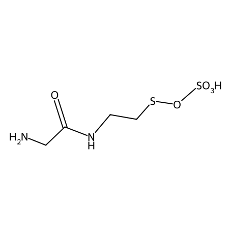 NCC(=O)NCCSOS(=O)(=O)O